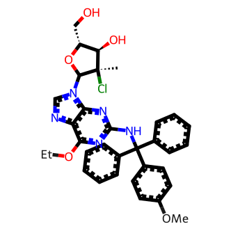 CCOc1nc(NC(c2ccccc2)(c2ccccc2)c2ccc(OC)cc2)nc2c1ncn2C1O[C@H](CO)[C@@H](O)[C@@]1(C)Cl